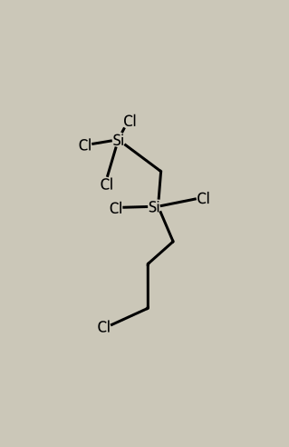 ClCCC[Si](Cl)(Cl)C[Si](Cl)(Cl)Cl